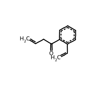 C=CCC(=O)c1ccccc1C=C